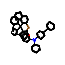 c1ccc(-c2ccc(N(c3ccccc3)c3ccc(-c4cccc5c4C4(c6ccccc6Sc6ccc7ccccc7c64)c4ccccc4-5)cc3)cc2)cc1